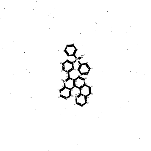 O=P(c1ccccc1)(c1ccccc1)c1cccc(-c2nc3ccccc3c3c2ccc2ccc4cccnc4c23)c1